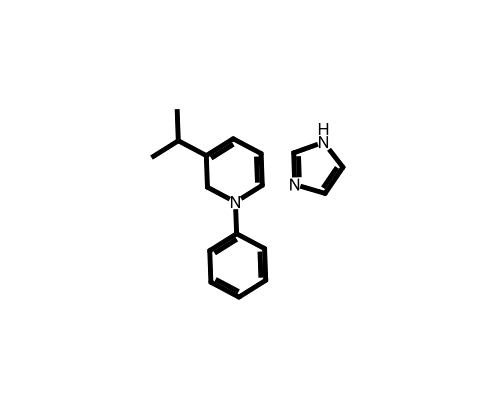 CC(C)C1=CC=CN(c2ccccc2)C1.c1c[nH]cn1